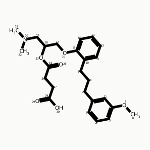 COc1cccc(CCCc2ccccc2OCC(CN(C)C)OC(=O)CCC(=O)O)c1